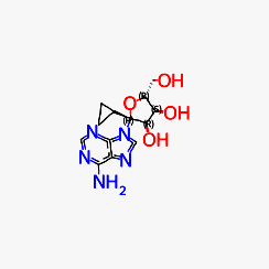 Nc1ncnc2c1ncn2[C@]1(C2CC2)O[C@H](CO)[C@@H](O)[C@H]1O